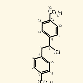 O=C(O)c1ccc(CC(Cl)c2ccc(C(=O)O)cc2)cc1